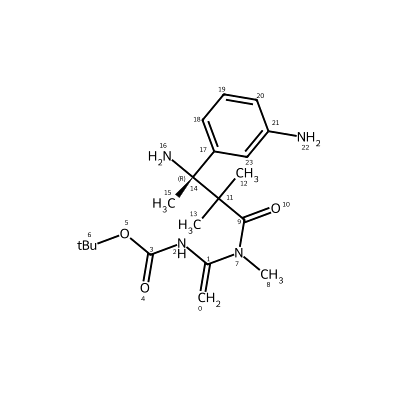 C=C(NC(=O)OC(C)(C)C)N(C)C(=O)C(C)(C)[C@](C)(N)c1cccc(N)c1